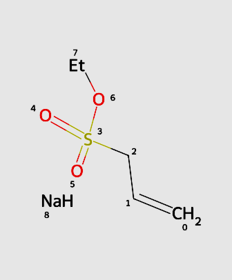 C=CCS(=O)(=O)OCC.[NaH]